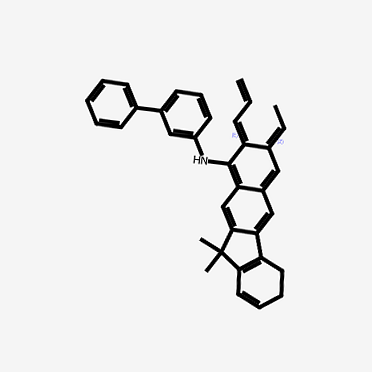 C=C/C=c1/c(Nc2cccc(-c3ccccc3)c2)c2cc3c(cc2c/c1=C/C)C1=C(C=CCC1)C3(C)C